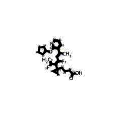 C=C(F)/C(=C(F)\C=C(/C)c1cccnc1OC1CCCC1)C1(CCCC(=O)O)CC1